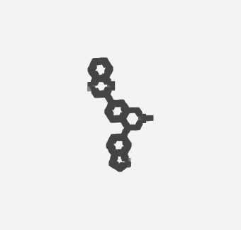 CN1Cc2cc(-c3cnc4ccccc4n3)ccc2C(c2ccc3ccsc3c2)C1